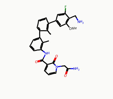 COc1cc(-c2cccc(-c3cccc(NC(=O)c4cccn(CC(N)=O)c4=O)c3C)c2C)cc(F)c1CN